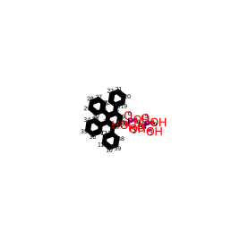 O=P(O)(O)O.O=P(O)(O)O.c1ccc(-c2ccc(-c3ccccc3)c(-c3ccccc3)c2-c2ccccc2)cc1